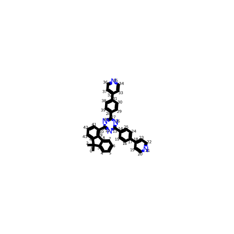 CC1(C)c2ccccc2-c2c(-c3nc(-c4ccc(-c5ccncc5)cc4)nc(-c4ccc(-c5ccncc5)cc4)n3)cccc21